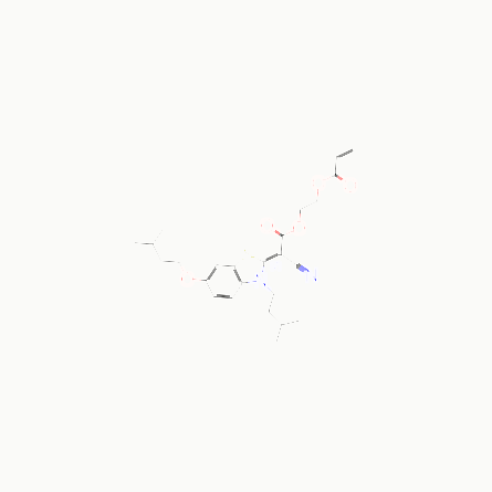 C=CC(=O)OCCOC(=O)/C(C#N)=C1\Sc2cc(OCCC(C)C)ccc2N1CCC(C)C